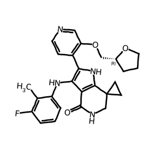 Cc1c(F)cccc1Nc1c(-c2ccncc2OC[C@H]2CCCO2)[nH]c2c1C(=O)NCC21CC1